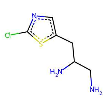 NCC(N)Cc1cnc(Cl)s1